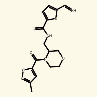 Cc1cc(C(=O)N2CCOCC2CNC(=O)c2ccc(C=N)s2)on1